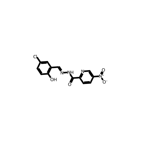 O=C(NN=Cc1cc(Cl)ccc1O)c1ccc([N+](=O)[O-])cn1